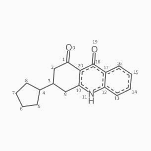 O=C1CC(C2CCCC2)Cc2[nH]c3ccccc3c(=O)c21